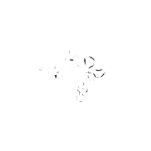 CC(C)OC(=O)OCOC(C(=O)OC1CC2CCC(C1)[N+]21CCCC1)(c1ccccc1)c1ccccc1.O=S(=O)([O-])C(F)(F)F